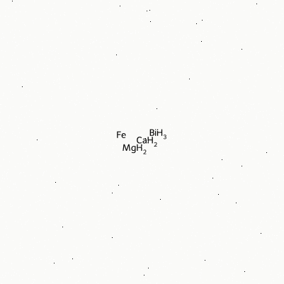 [BiH3].[CaH2].[Fe].[MgH2]